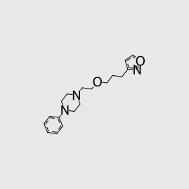 c1ccc(N2CCN(CCOCCCc3ccon3)CC2)cc1